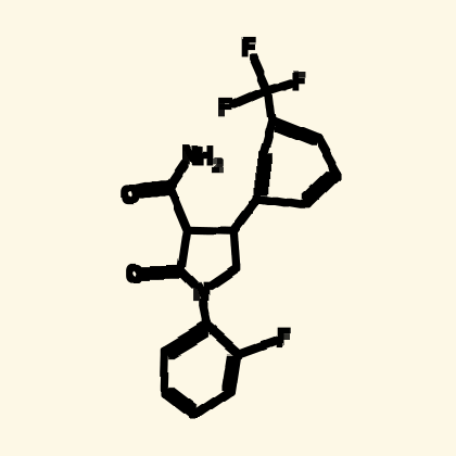 NC(=O)C1C(=O)N(c2ccccc2F)CC1c1cccc(C(F)(F)F)c1